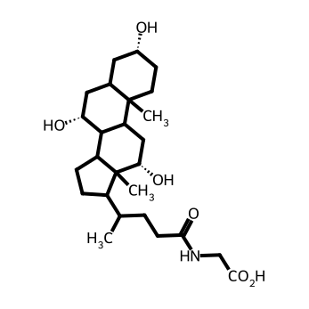 CC(CCC(=O)NCC(=O)O)C1CCC2C3C(C[C@H](O)C12C)C1(C)CC[C@@H](O)CC1C[C@H]3O